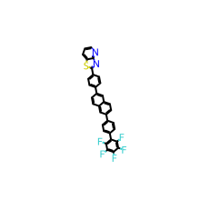 Fc1c(F)c(F)c(-c2ccc(-c3ccc4cc(-c5ccc(-c6nc7ncccc7s6)cc5)ccc4c3)cc2)c(F)c1F